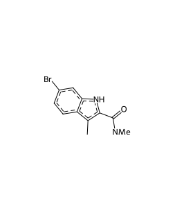 CNC(=O)c1[nH]c2cc(Br)ccc2c1C